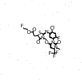 CN1C(=O)C(CC(=O)OCCF)SC1=Nc1cc(-n2c(=O)cc(C(F)(F)F)n(C)c2=O)c(F)cc1Cl